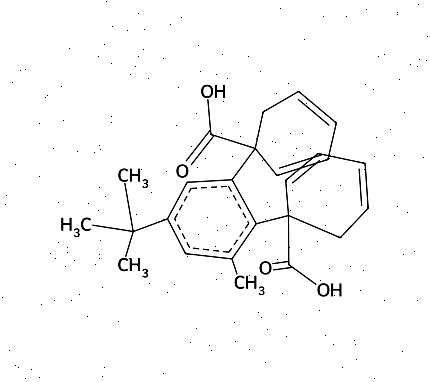 Cc1cc(C(C)(C)C)cc(C2(C(=O)O)C=CC=CC2)c1C1(C(=O)O)C=CC=CC1